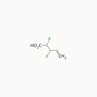 C=CC(F)C(F)C(=O)O